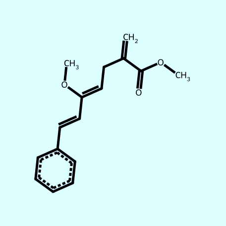 C=C(C/C=C(/C=C/c1ccccc1)OC)C(=O)OC